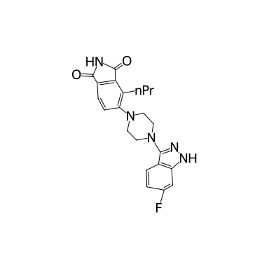 CCCc1c(N2CCN(c3n[nH]c4cc(F)ccc34)CC2)ccc2c1C(=O)NC2=O